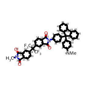 CNc1ccc(C2(c3ccc(N4C(=O)c5ccc(C(c6ccc7c(c6)C(=O)N(C)C7=O)(C(F)(F)F)C(F)(F)F)cc5C4=O)cc3)c3ccccc3-c3ccccc32)cc1